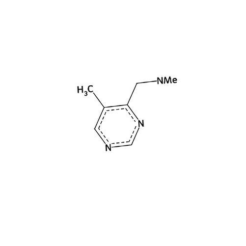 CNCc1ncncc1C